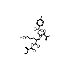 C=C(C)C(=O)N(C=C(CCCO)C(=O)OC(=O)C(=C)CC)CS(=O)(=O)c1ccc(C)cc1